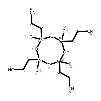 C[Si]1(CCC#N)O[Si](C)(CCC#N)O[Si](C)(CCC#N)O[Si](C)(CCC#N)O1